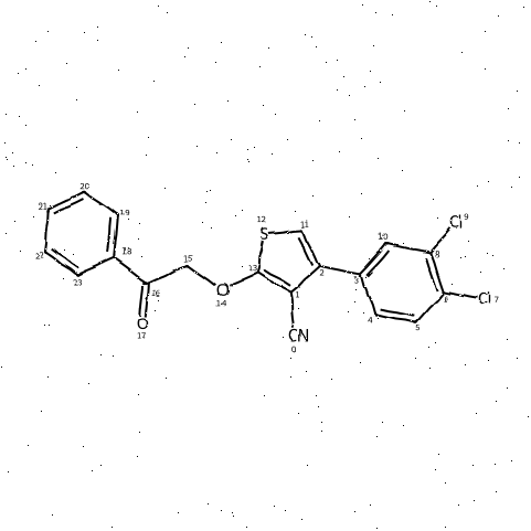 N#Cc1c(-c2ccc(Cl)c(Cl)c2)csc1OCC(=O)c1ccccc1